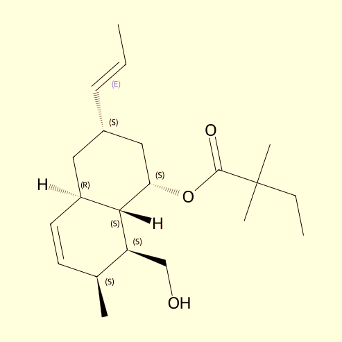 C/C=C/[C@@H]1C[C@H](OC(=O)C(C)(C)CC)[C@@H]2[C@@H](CO)[C@@H](C)C=C[C@H]2C1